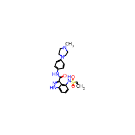 C=CS(=O)(=O)Nc1cccc2[nH]nc(C(=O)Nc3ccc(N4CCN(C)CC4)cc3)c12